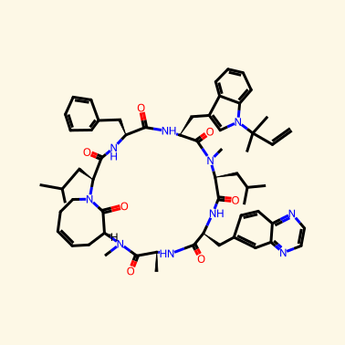 C=CC(C)(C)n1cc(C[C@@H]2NC(=O)[C@H](Cc3ccccc3)NC(=O)[C@H](CC(C)C)N3CC/C=C\C[C@@H](C3=O)N(C)C(=O)[C@H](C)NC(=O)[C@H](Cc3ccc4nccnc4c3)NC(=O)[C@H](CC(C)C)N(C)C2=O)c2ccccc21